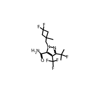 CC1(Cn2nc(C(C)(C)F)c(C(F)(F)F)c2C(N)=O)CC(F)(F)C1